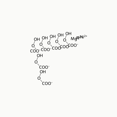 O=C([O-])OO.O=C([O-])OO.O=C([O-])OO.O=C([O-])OO.O=C([O-])OO.O=C([O-])OO.O=C([O-])OO.[Al+3].[Mg+2].[Ni+2]